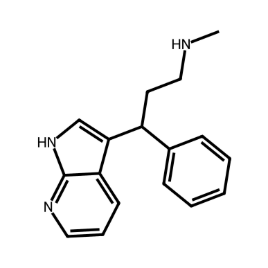 CNCCC(c1ccccc1)c1c[nH]c2ncccc12